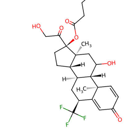 CCCC(=O)O[C@]1(C(=O)CO)CC[C@H]2[C@@H]3C[C@H](C(F)(F)F)C4=CC(=O)C=C[C@]4(C)[C@H]3C(O)C[C@@]21C